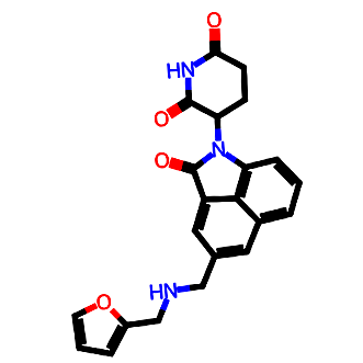 O=C1CCC(N2C(=O)c3cc(CNCc4ccco4)cc4cccc2c34)C(=O)N1